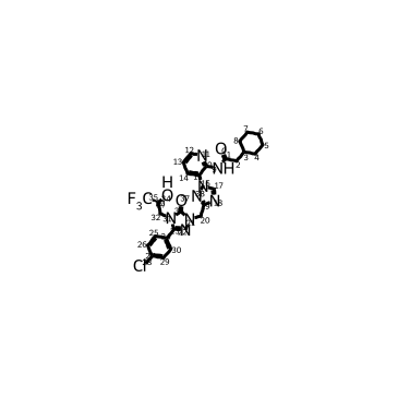 O=C(CC1CCCCC1)Nc1ncccc1-n1cnc(Cn2nc(-c3ccc(Cl)cc3)n(C[C@H](O)C(F)(F)F)c2=O)n1